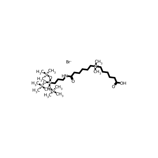 C[N+](C)(CCCCCC(=O)O)CCCCCC(=O)NCCC[Si](O[Si](C)(C)C)(O[Si](C)(C)C)O[Si](C)(C)C.[Br-]